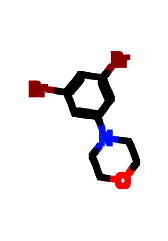 Brc1cc(Br)cc(N2CCOCC2)c1